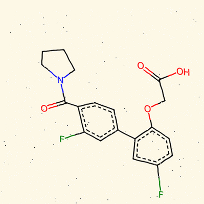 O=C(O)COc1ccc(F)cc1-c1ccc(C(=O)N2CCCC2)c(F)c1